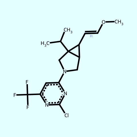 CO/C=C/C1C2CN(c3cc(C(F)(F)F)nc(Cl)n3)CC12C(C)C